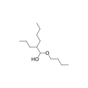 CCCCOC(O)C(CCC)CCCC